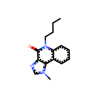 CCCCn1c(=O)c2ncn(C)c2c2ccccc21